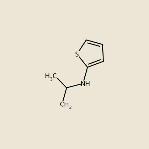 CC(C)Nc1cccs1